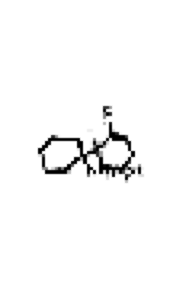 CCCCCCCC1(C2(F)C=CCC=C2F)CCCCC1